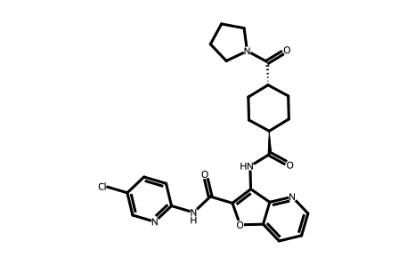 O=C(Nc1ccc(Cl)cn1)c1oc2cccnc2c1NC(=O)[C@H]1CC[C@H](C(=O)N2CCCC2)CC1